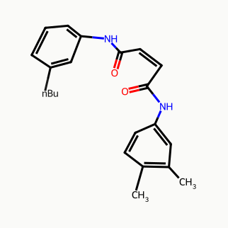 CCCCc1cccc(NC(=O)/C=C\C(=O)Nc2ccc(C)c(C)c2)c1